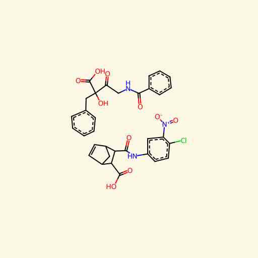 O=C(NCC(=O)C(O)(Cc1ccccc1)C(=O)O)c1ccccc1.O=C(O)C1C2C=CC(C2)C1C(=O)Nc1ccc(Cl)c([N+](=O)[O-])c1